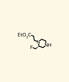 CCOC(=O)CCN1CCNC[C@H]1CF